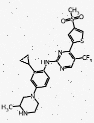 CC1CN(c2ccc(Nc3ncc(C(F)(F)F)c(-c4cc(S(C)(=O)=O)cs4)n3)c(C3CC3)c2)CCN1